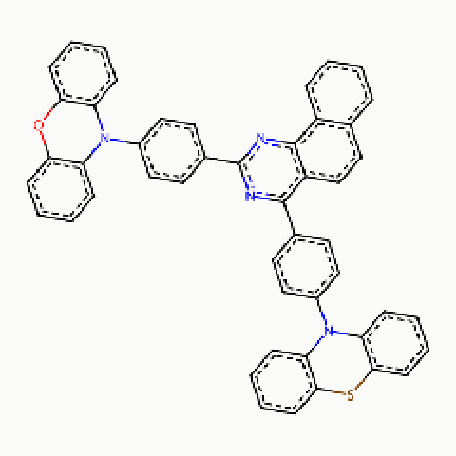 c1ccc2c(c1)Oc1ccccc1N2c1ccc(-c2nc(-c3ccc(N4c5ccccc5Sc5ccccc54)cc3)c3ccc4ccccc4c3n2)cc1